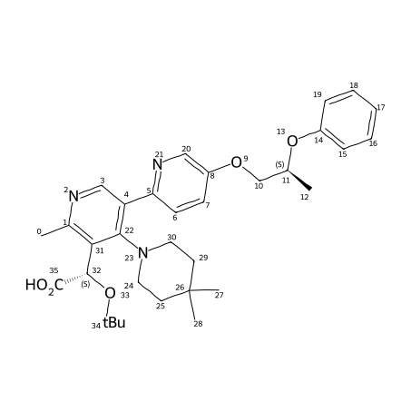 Cc1ncc(-c2ccc(OC[C@H](C)Oc3ccccc3)cn2)c(N2CCC(C)(C)CC2)c1[C@H](OC(C)(C)C)C(=O)O